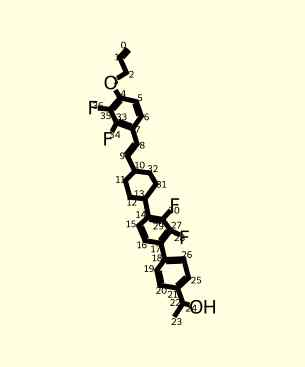 C=CCOc1ccc(/C=C/C2CCC(c3ccc(-c4ccc(C(C)O)cc4)c(F)c3F)CC2)c(F)c1F